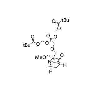 COC[C@]1(COCP(=O)(OCOC(=O)C(C)(C)C)OCOC(=O)C(C)(C)C)C(=O)[C@H]2CCN1[C@H](C)C2